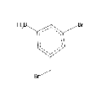 Bc1cc(Br)cc(CBr)c1